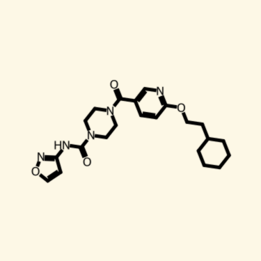 O=C(Nc1ccon1)N1CCN(C(=O)c2ccc(OCCC3CCCCC3)nc2)CC1